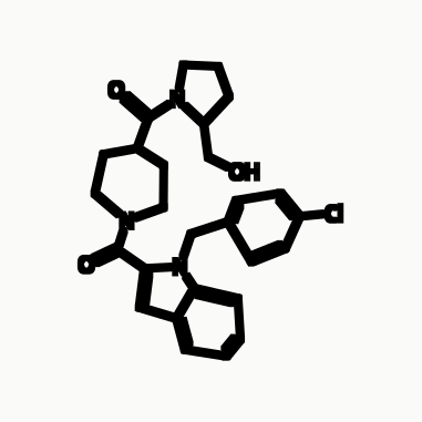 O=C(c1cc2ccccc2n1Cc1ccc(Cl)cc1)N1CCC(C(=O)N2CCCC2CO)CC1